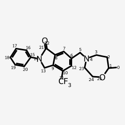 CC1CCN(Cc2cc3c(c(C(F)(F)F)c2)CN(c2ccccc2)C3=O)CCO1